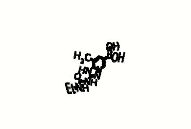 CCNC(=O)NC1=NN2C=C(B(O)O)C=C(C)C2N1